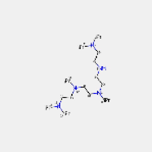 CC(C)N(CCNCCN(C(C)C)C(C)C)CCN(CCN(C(C)C)C(C)C)C(C)C